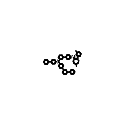 CC1=CCC(c2cccc(C)c2)=C(Nc2ccc(-c3cccc(N(c4ccc(-c5ccccc5)cc4)c4ccc(-c5cccc(-c6ccccc6)c5)cc4)c3)cc2)C=C1